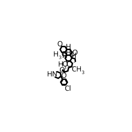 C[C@H](CCC(=O)OC1(c2ccc(Cl)cc2)CCNCC1)[C@H]1CC[C@H]2[C@@H]3C(=O)C[C@@H]4CC(=O)CC[C@]4(C)[C@H]3CC(=O)[C@]12C